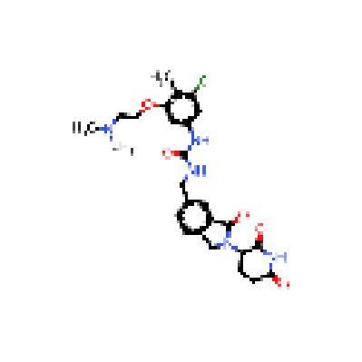 Cc1c(Cl)cc(NC(=O)NCc2ccc3c(c2)C(=O)N(C2CCC(=O)NC2=O)C3)cc1OCCN(C)C